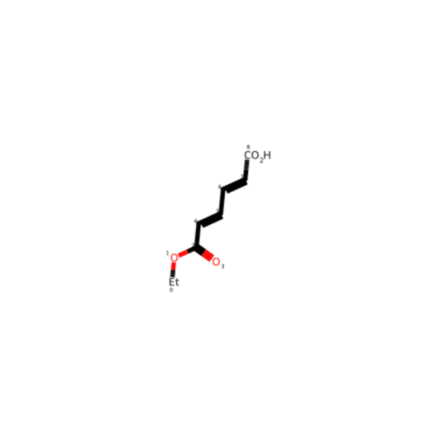 CCOC(=O)C=CC=CC(=O)O